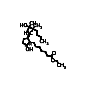 CCCCC(C)(C)C(C)(O)CC=C1CC[C@H](O)[C@@H]1CCCCCCC(=O)OCC